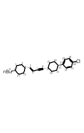 CCCC[C@H]1CC[C@H](/C=C/C#C[C@H]2CC[C@H](c3ccc(Cl)cc3)CC2)CC1